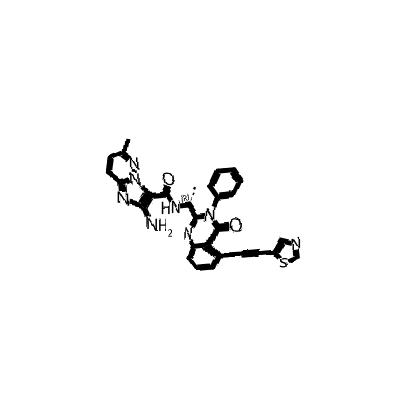 Cc1ccc2nc(N)c(C(=O)N[C@H](C)c3nc4cccc(C#Cc5cncs5)c4c(=O)n3-c3ccccc3)n2n1